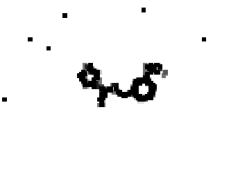 O=[N+]([O-])c1cccc(CSC(=S)n2ccnc2)c1